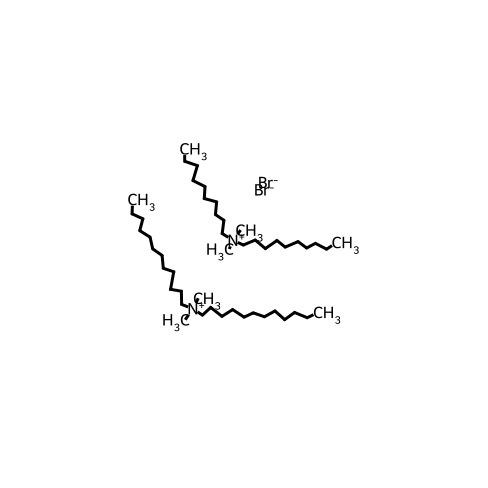 CCCCCCCCCCCC[N+](C)(C)CCCCCCCCCCCC.CCCCCCCCCC[N+](C)(C)CCCCCCCCCC.[Br-].[Br-]